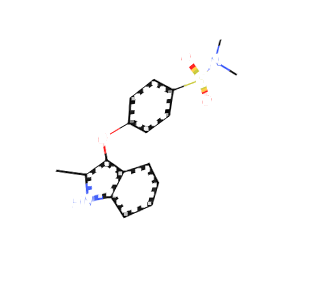 Cc1[nH]c2ccccc2c1Oc1ccc(S(=O)(=O)N(C)C)cc1